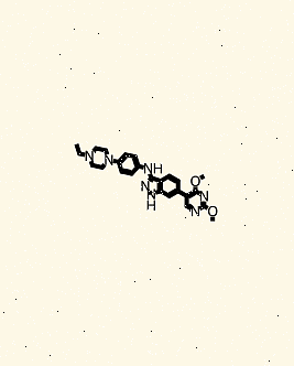 CCN1CCN(c2ccc(Nc3n[nH]c4cc(-c5cnc(OC)nc5OC)ccc34)cc2)CC1